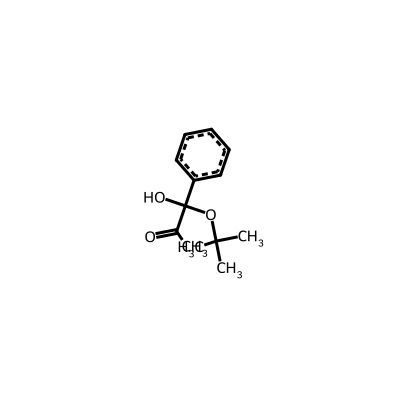 CC(=O)C(O)(OC(C)(C)C)c1ccccc1